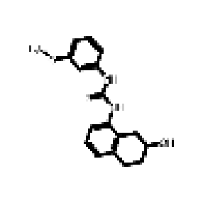 O=C(Nc1cccc(OC(F)(F)F)c1)Nc1cccc2c1CC(O)CC2